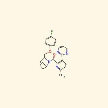 Cc1ccc(-c2ncccn2)c(C(=O)N2C(COc3ccc(F)cc3)CC3CC2C3)n1